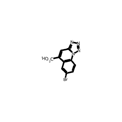 O=C(O)c1cc2nnnn2c2ccc(Br)cc12